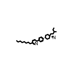 CCCCCCCCc1ccc(-c2ccc([C@H]3CC[C@](C#N)(CCC(C)CC)CC3)cc2)nc1